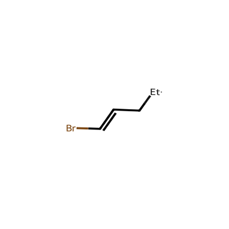 C[CH]CC=CBr